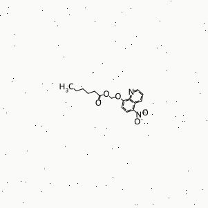 CCCCCC(=O)OCOc1ccc([N+](=O)[O-])c2cccnc12